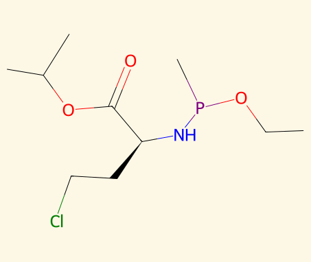 CCOP(C)N[C@@H](CCCl)C(=O)OC(C)C